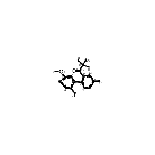 COc1ccc(F)c(-c2ccc(C)cc2C(=O)C(C)(C)C)c1